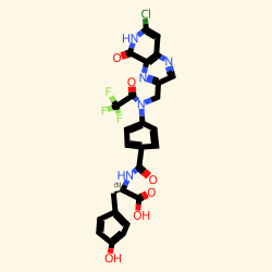 O=C(N[C@@H](Cc1ccc(O)cc1)C(=O)O)c1ccc(N(Cc2cnc3cc(Cl)[nH]c(=O)c3n2)C(=O)C(F)(F)F)cc1